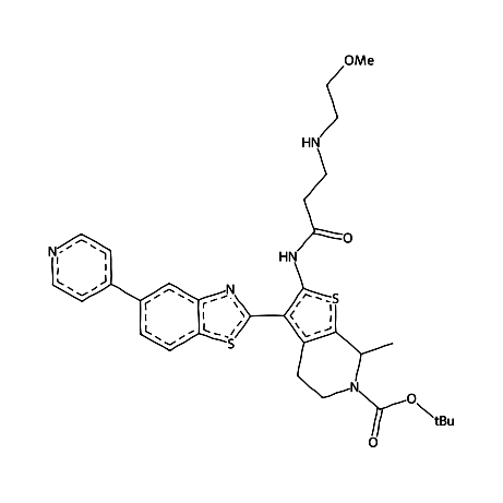 COCCNCCC(=O)Nc1sc2c(c1-c1nc3cc(-c4ccncc4)ccc3s1)CCN(C(=O)OC(C)(C)C)C2C